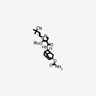 CC(C)COc1c(C(=O)N[C@H]2C3CC4CC2C[C@](OC(N)=O)(C4)C3)cnn1/C=C/C(C)(C)C#N